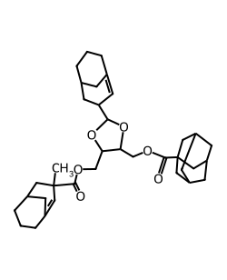 CC1(C(=O)OCC2OC(C3C=C4CCCC(C4)C3)OC2COC(=O)C23CC4CC(CC(C4)C2)C3)C=C2CCCC(C2)C1